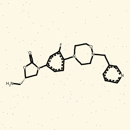 NC[C@H]1CN(c2ccc(N3CCON(Cc4cccnc4)CC3)c(F)c2)C(=O)O1